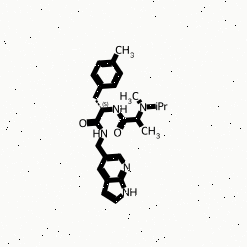 Cc1ccc(C[C@H](NC(=O)C(C)N(C)C(C)C)C(=O)NCc2cnc3[nH]ccc3c2)cc1